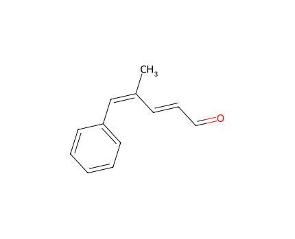 CC(C=CC=O)=Cc1ccccc1